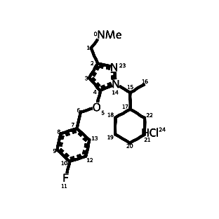 CNCc1cc(OCc2ccc(F)cc2)n(C(C)C2CCCCC2)n1.Cl